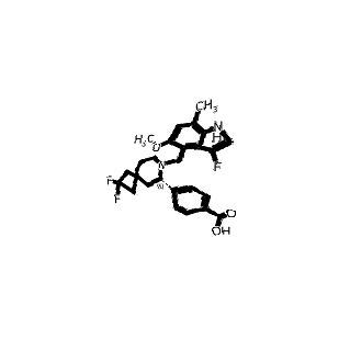 COc1cc(C)c2[nH]cc(F)c2c1CN1CCC2(C[C@H]1c1ccc(C(=O)O)cc1)CC(F)(F)C2